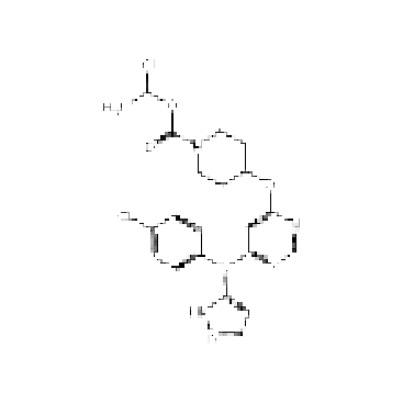 CC(C)OC(=O)N1CCC(Oc2cc(N(c3ccc(Cl)cc3)c3ccn[nH]3)ncn2)CC1